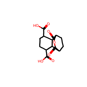 O=C(O)C1CCC(C(=O)O)C2C3CCC(C(=O)OC3=O)C12